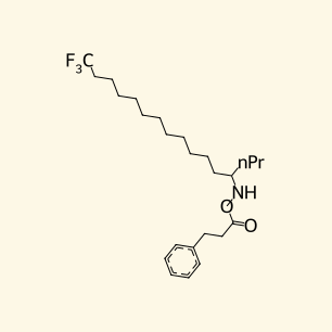 CCCC(CCCCCCCCCCCC(F)(F)F)NOC(=O)CCc1ccccc1